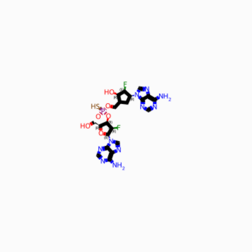 Nc1ncnc2c1ncn2[C@@H]1CC(COP(=O)(S)O[C@H]2[C@@H](F)[C@H](n3cnc4c(N)ncnc43)O[C@@H]2CO)[C@@H](O)[C@H]1F